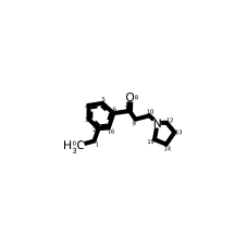 CCc1cccc(C(=O)CCN2CCCC2)c1